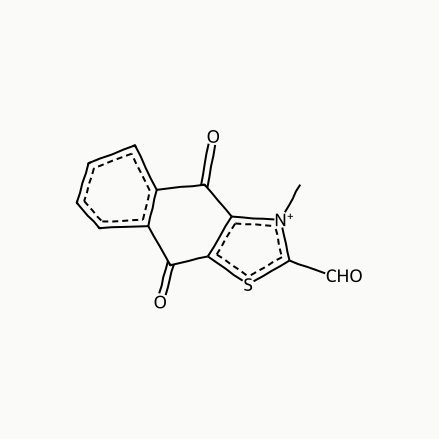 C[n+]1c(C=O)sc2c1C(=O)c1ccccc1C2=O